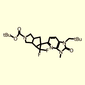 Cn1c(=O)n(CC(C)(C)C)c2ccc(C34CC5CN(C(=O)OC(C)(C)C)CC5C3C4(F)F)nc21